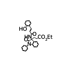 CCOC(=O)CCC1(NC(=O)C=Cc2ccccc2O)C(=O)N(c2ccccc2)c2ccccc21